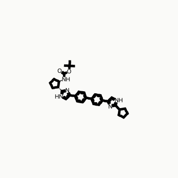 CC(C)(C)OC(=O)N[C@H]1CCC[C@H]1c1nc(-c2ccc(-c3ccc(-c4c[nH]c(C5CCCC5)n4)cc3)cc2)c[nH]1